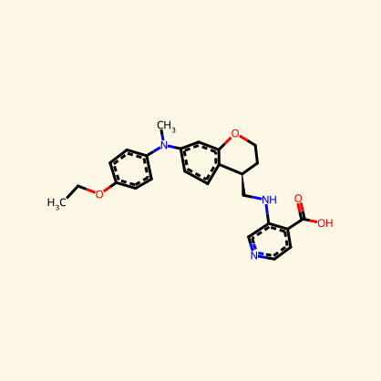 CCOc1ccc(N(C)c2ccc3c(c2)OCC[C@H]3CNc2cnccc2C(=O)O)cc1